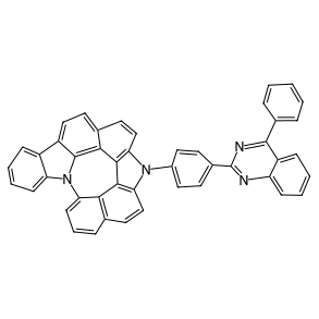 c1ccc(-c2nc(-c3ccc(-n4c5ccc6cccc7c6c5c5c6c(ccc8c9ccccc9n7c86)ccc54)cc3)nc3ccccc23)cc1